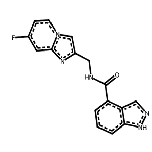 O=C(NCc1cn2ccc(F)cc2n1)c1cccc2[nH]ncc12